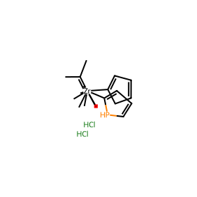 C[C](C)=[Zr]([CH3])([CH3])([CH3])([CH3])([CH3])([CH3])([CH3])([C]1=CC=CC1)[c]1ccc[pH]1.Cl.Cl